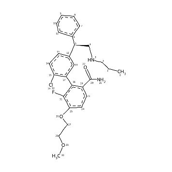 CCCNC[C@H](c1ccccc1)c1ccc(Cl)c(-c2c(C(N)=O)ccc(OCCOC)c2F)c1